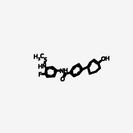 CSNc1cc(NC(=O)c2ccc(C3=CC=C(O)CCC3)cc2)ccc1F